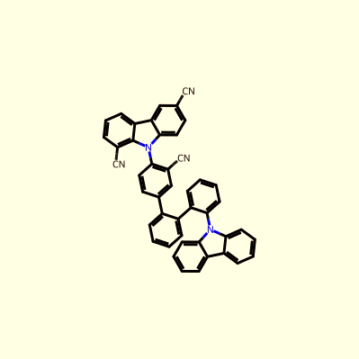 N#Cc1ccc2c(c1)c1cccc(C#N)c1n2-c1ccc(-c2ccccc2-c2ccccc2-n2c3ccccc3c3ccccc32)cc1C#N